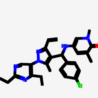 C=Cc1nn(-c2cnc(CC)nc2CC)c(C)c1C(Nc1cc(C)c(=O)n(C)c1)c1ccc(Cl)cc1